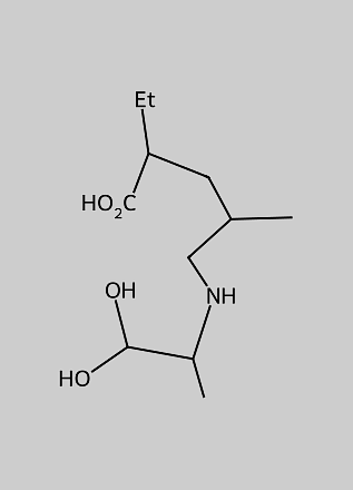 CCC(CC(C)CNC(C)C(O)O)C(=O)O